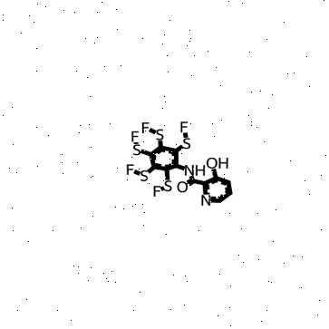 O=C(Nc1c(SF)c(SF)c(SF)c(SF)c1SF)c1ncccc1O